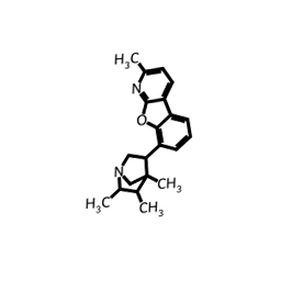 Cc1ccc2c(n1)oc1c(C3CN4CC3(C)C(C)C4C)cccc12